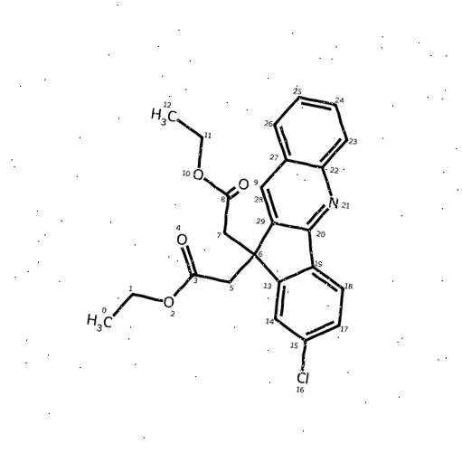 CCOC(=O)CC1(CC(=O)OCC)c2cc(Cl)ccc2-c2nc3ccccc3cc21